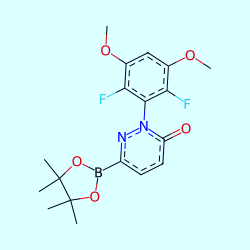 COc1cc(OC)c(F)c(-n2nc(B3OC(C)(C)C(C)(C)O3)ccc2=O)c1F